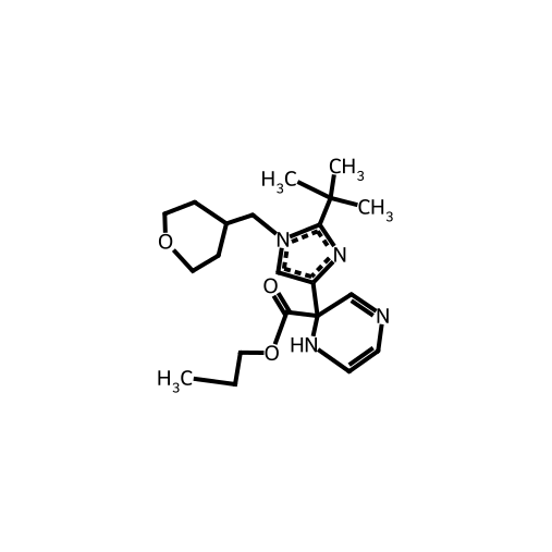 CCCOC(=O)C1(c2cn(CC3CCOCC3)c(C(C)(C)C)n2)C=NC=CN1